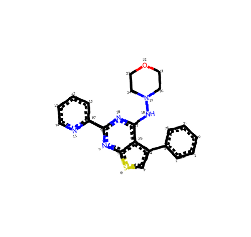 c1ccc(-c2csc3nc(-c4ccccn4)nc(NN4CCOCC4)c23)cc1